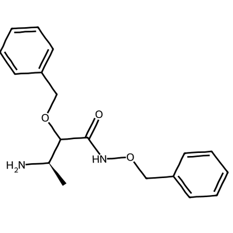 C[C@@H](N)C(OCc1ccccc1)C(=O)NOCc1ccccc1